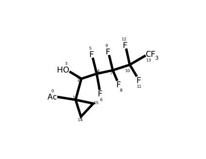 CC(=O)C1(C(O)C(F)(F)C(F)(F)C(F)(F)C(F)(F)F)CC1